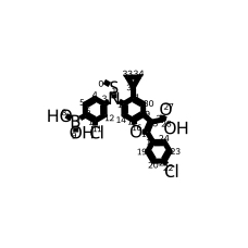 CSN(c1ccc(B(O)O)c(Cl)c1)c1cc2oc(-c3ccc(Cl)cc3)c(C(=O)O)c2cc1C1CC1